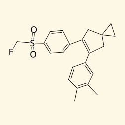 Cc1ccc(C2=C(c3ccc(S(=O)(=O)CF)cc3)CC3(CC3)C2)cc1C